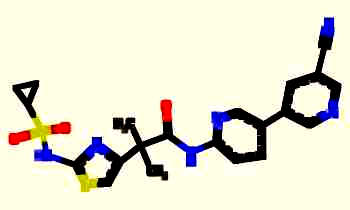 CC(C)(C(=O)Nc1ccc(-c2cncc(C#N)c2)cn1)c1csc(NS(=O)(=O)C2CC2)n1